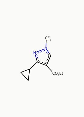 CCOC(=O)c1cn(C(F)(F)F)nc1C1CC1